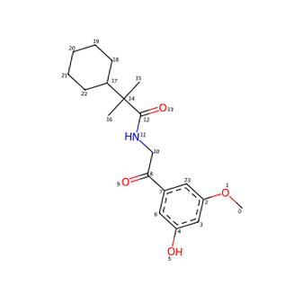 COc1cc(O)cc(C(=O)CNC(=O)C(C)(C)C2CCCCC2)c1